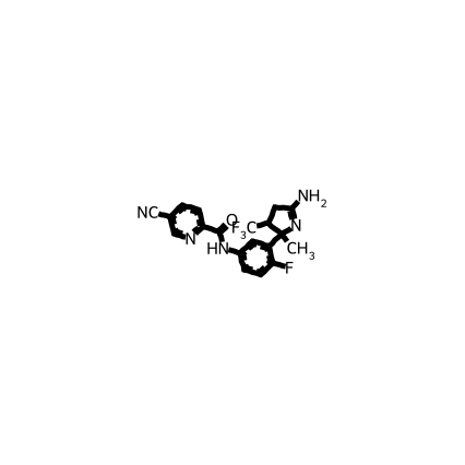 CC1(c2cc(NC(=O)c3ccc(C#N)cn3)ccc2F)N=C(N)CC1C(F)(F)F